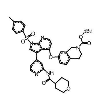 Cc1ccc(S(=O)(=O)n2cc(-c3ccnc(NC(=O)C4CCOCC4)c3)c3c(Oc4ccc5c(c4)CN(C(=O)OC(C)(C)C)CC5)ccnc32)cc1